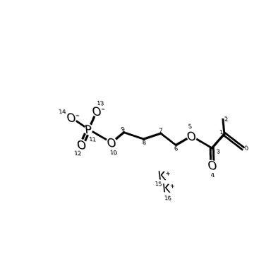 C=C(C)C(=O)OCCCCOP(=O)([O-])[O-].[K+].[K+]